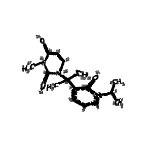 CC(C)n1cccc(C(C)(C)N2CCC(=O)N(C)C2=O)c1=O